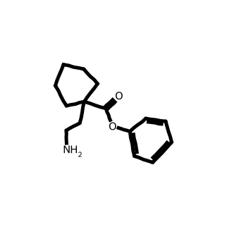 NCCC1(C(=O)Oc2ccccc2)CCCCC1